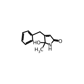 CC1(O)NC(=O)C=C1Cc1ccccc1